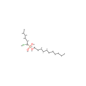 CCCCCCCCCCCOS(=O)(=O)C(F)CCCCC